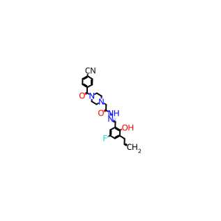 C=CCc1cc(F)cc(/C=N/NC(=O)CN2CCN(C(=O)c3ccc(C#N)cc3)CC2)c1O